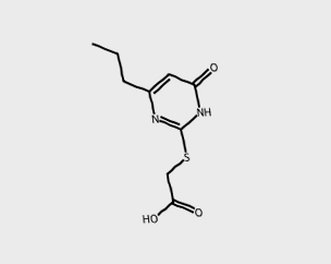 CCCc1cc(=O)[nH]c(SCC(=O)O)n1